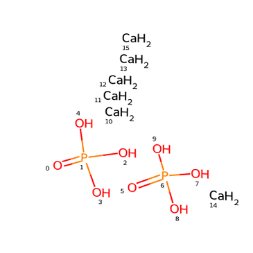 O=P(O)(O)O.O=P(O)(O)O.[CaH2].[CaH2].[CaH2].[CaH2].[CaH2].[CaH2]